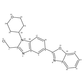 ClCc1nc2cc(-c3nc4ccccc4o3)ccc2n1C1CCOCC1